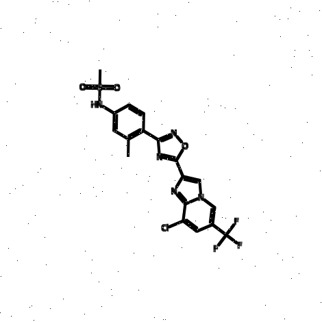 Cc1cc(NS(C)(=O)=O)ccc1-c1noc(-c2cn3cc(C(F)(F)F)cc(Cl)c3n2)n1